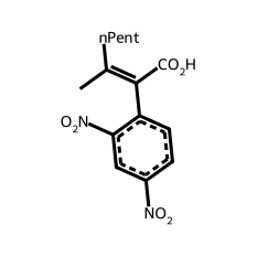 CCCCCC(C)=C(C(=O)O)c1ccc([N+](=O)[O-])cc1[N+](=O)[O-]